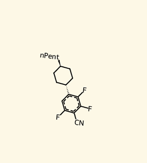 CCCCC[C@H]1CC[C@H](c2cc(F)c(C#N)c(F)c2F)CC1